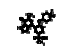 Cn1cc(-c2cc(S(C)(=N)=O)ccc2OC2CCC(F)(F)CC2)c2cc[nH]c2c1=O